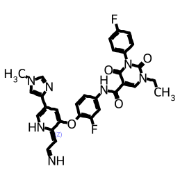 CCn1cc(C(=O)Nc2ccc(OC3=CC(c4cn(C)cn4)=CN/C3=C\C=N)c(F)c2)c(=O)n(-c2ccc(F)cc2)c1=O